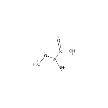 COC([NH])C(=O)O